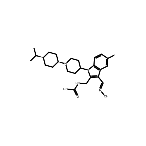 CC(C)[C@H]1CC[C@@H](N2CCC(n3c(CNC(=O)O)c(C=NO)c4cc(F)ccc43)CC2)CC1